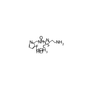 Cc1sc(CCN)nc1C(=O)NCc1ncccc1F.Cl.Cl